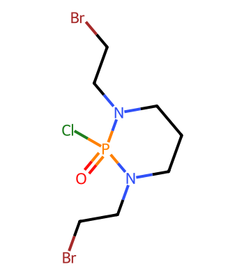 O=P1(Cl)N(CCBr)CCCN1CCBr